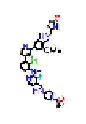 COc1cc(-c2nccc(-c3cccc(Nc4nccc(CNC5CCN(C(=O)C(C)C)CC5)c4F)c3Cl)c2Cl)ccc1CNCC1CCC(=O)N1